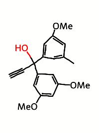 C#CC(O)(c1cc(C)cc(OC)c1)c1cc(OC)cc(OC)c1